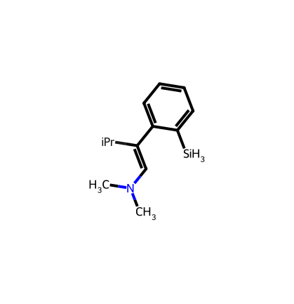 CC(C)C(=CN(C)C)c1ccccc1[SiH3]